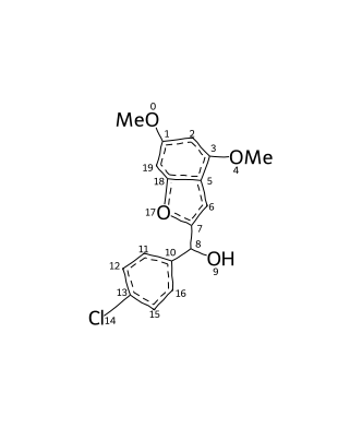 COc1cc(OC)c2cc(C(O)c3ccc(Cl)cc3)oc2c1